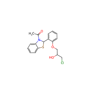 CC(=O)N1c2ccccc2SC1c1ccccc1OCC(O)CCl